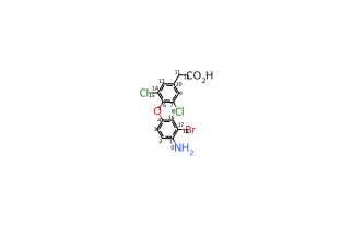 Nc1ccc(Oc2c(Cl)cc(CC(=O)O)cc2Cl)cc1Br